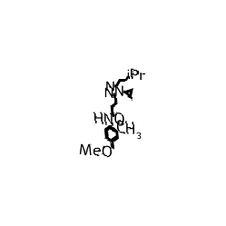 COCc1ccc(NC(=O)CCc2nnc(CCC(C)C)n2C2CC2)c(C)c1